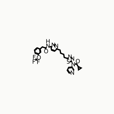 O=C(Cc1cccc(OC(F)(F)F)c1)Nc1ccc(CCCCc2nnc(N(C(=O)C3CC3)c3cccnc3)s2)nn1